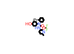 Cc1ccc(NC(=O)N(c2ccccc2C(C)C)C2CCC(O)CC2)c(OC(F)F)n1